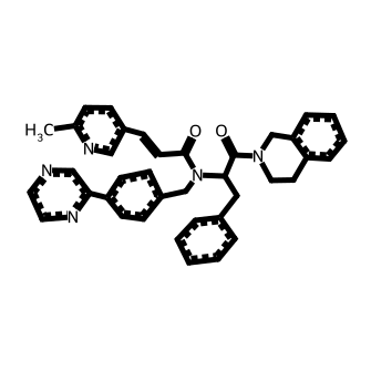 Cc1ccc(C=CC(=O)N(Cc2ccc(-c3cnccn3)cc2)C(Cc2ccccc2)C(=O)N2CCc3ccccc3C2)cn1